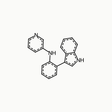 c1cncc(Nc2ccccc2-c2c[nH]c3ccccc23)c1